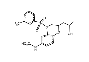 CC(O)CC1CN(S(=O)(=O)c2cccc(C(F)(F)F)c2)c2cc(NC(=O)O)ccc2O1